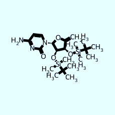 C=C1O[C@@H](n2ccc(N)nc2=O)[C@H](O[Si](C)(C)C(C)(C)C)[C@@H]1O[Si](C)(C)C(C)(C)C